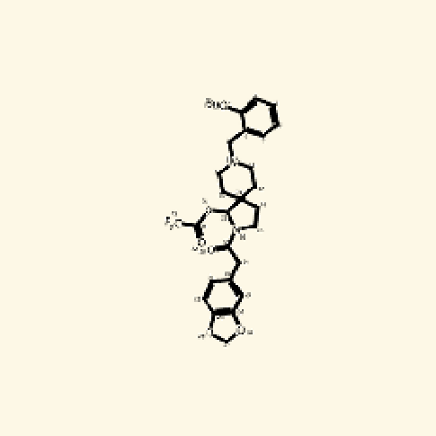 CC(C)COc1ccccc1CN1CCC2(CC1)CCN(C(=O)Cc1ccc3c(c1)OCO3)C2OC(=O)C(F)(F)F